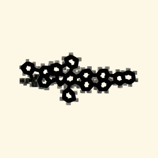 C[Si](C)(C)c1ccccc1-c1ccc2c3cc4c(-c5ccccc5-c5ccccc5)c5c6ccc7c8ccc9c%10c(ccc(c%11ccc(c5c(-c5ccccc5)c4cc3c3cccc1c32)c6c%117)c%108)-c1cc2ccccc2cc1-9